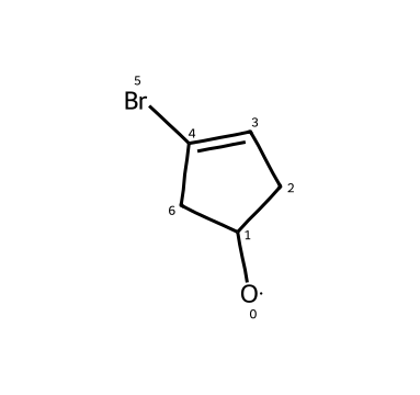 [O]C1CC=C(Br)C1